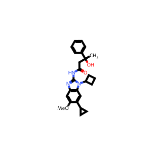 COc1cc2nc(NC(=O)CC(C)(O)c3ccccc3)n(C3CCC3)c2cc1C1CC1